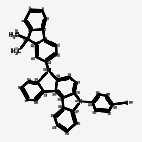 CC1(C)c2ccccc2-c2ccc(-n3c4ccccc4c4c5c6ccccc6n(-c6ccc(I)cc6)c5ccc43)cc21